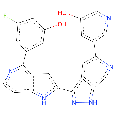 Oc1cncc(-c2cc3c(-c4cc5c(-c6cc(O)cc(F)c6)nccc5[nH]4)n[nH]c3cn2)c1